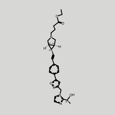 CCOC(=O)CCCN1C[C@@H]2[C@H](C#Cc3ccc(-c4cc(Cn5ccnc5[C@H](C)O)no4)cc3)[C@@H]2C1